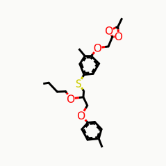 CCCCOC(COc1ccc(C)cc1)CSc1ccc(OCC2OC(C)O2)c(C)c1